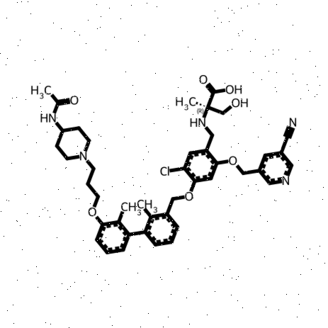 CC(=O)NC1CCN(CCCOc2cccc(-c3cccc(COc4cc(OCc5cncc(C#N)c5)c(CN[C@](C)(CO)C(=O)O)cc4Cl)c3C)c2C)CC1